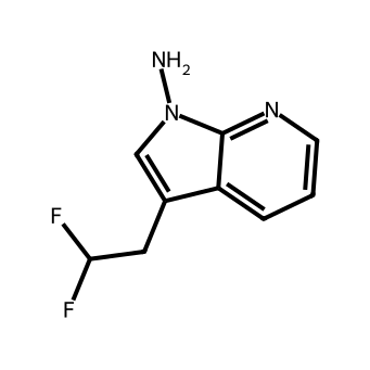 Nn1cc(CC(F)F)c2cccnc21